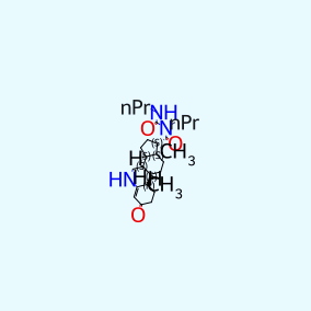 CCCNC(=O)N(CCC)C(=O)[C@H]1CC[C@H]2[C@@H]3CNC4=CC(=O)CC[C@]4(C)[C@H]3CC[C@]12C